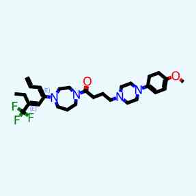 C=C/C=C(\C=C(/CC)C(F)(F)F)N1CCCN(C(=O)CCCN2CCN(C3=CC=C(OC)CC3)CC2)CC1